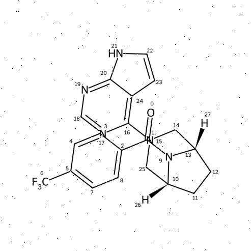 O=C(c1ccc(C(F)(F)F)cc1)N1[C@@H]2CC[C@H]1CN(c1ncnc3[nH]ccc13)C2